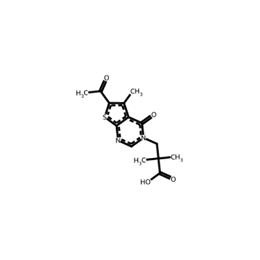 CC(=O)c1sc2ncn(CC(C)(C)C(=O)O)c(=O)c2c1C